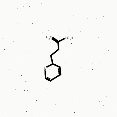 C=C(CCC1C=CC=CO1)C(=O)O